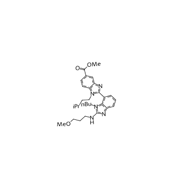 CCCCn1c(NCCCOC)nc2cccc(-c3nc4cc(C(=O)OC)ccc4n3CCC(C)C)c21